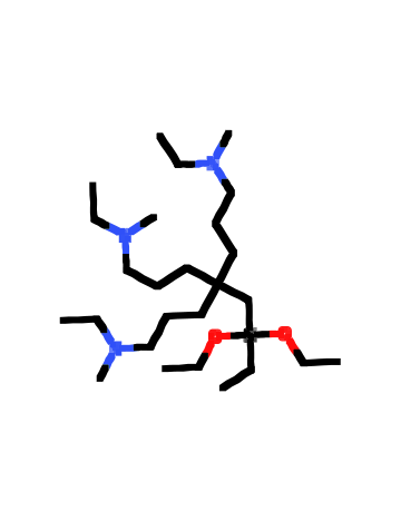 CCO[Si](CC)(CC(CCCN(C)CC)(CCCN(C)CC)CCCN(C)CC)OCC